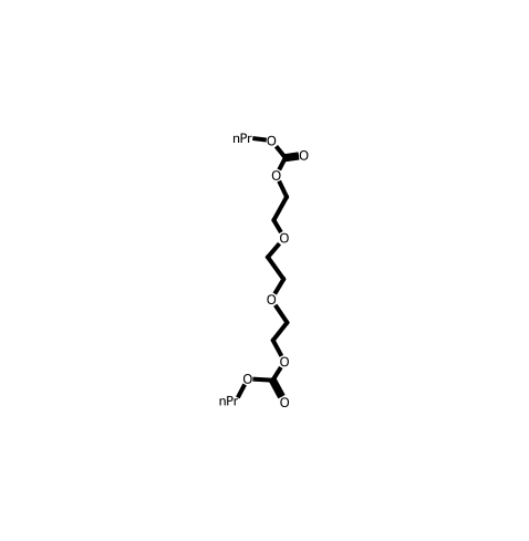 CCCOC(=O)OCCOCCOCCOC(=O)OCCC